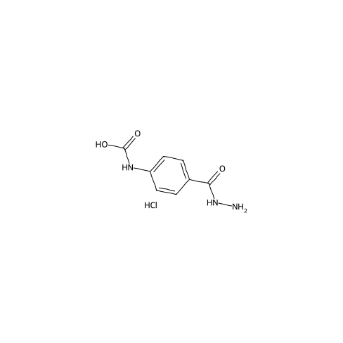 Cl.NNC(=O)c1ccc(NC(=O)O)cc1